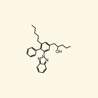 CCCCCc1cc(CC(O)CCC)cc(-n2nc3ccccc3n2)c1-c1ccccc1